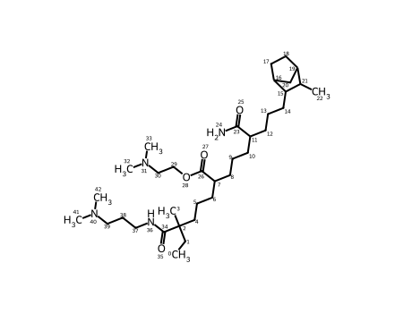 CCC(C)(CCCC(CCCC(CCCC1C2CCC(C2)C1C)C(N)=O)C(=O)OCCN(C)C)C(=O)NCCCN(C)C